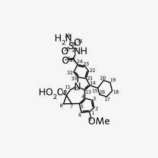 COc1ccc2c(c1)C1CC1(C(=O)O)Cn1c-2c(C2CCCCC2)c2ccc(C(=O)NS(N)(=O)=O)cc21